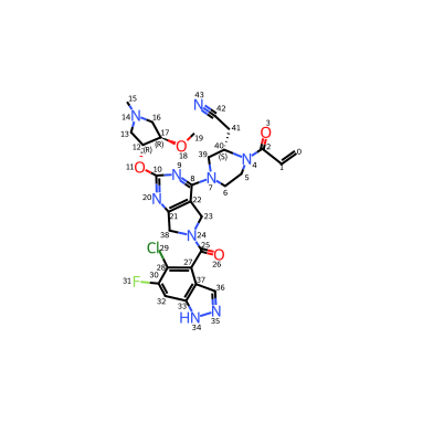 C=CC(=O)N1CCN(c2nc(O[C@@H]3CN(C)C[C@H]3OC)nc3c2CN(C(=O)c2c(Cl)c(F)cc4[nH]ncc24)C3)C[C@@H]1CC#N